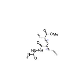 C=C/C=C(\C=C(/C=C)C(=O)OC)C(=O)NNC(=O)N=C